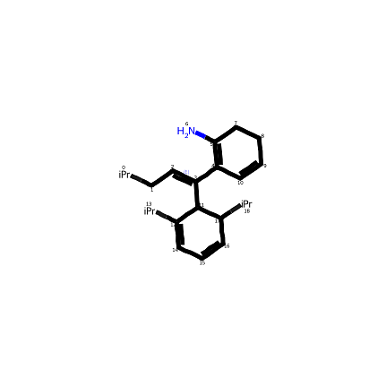 CC(C)C/C=C(/C1=C(N)CCC=C1)C1C(C(C)C)=CC=CC1C(C)C